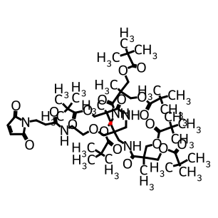 CC(C)(C)C(=O)OCC(C)(COC(=O)C(C)(C)C)C(=O)NCC(CNC(=O)C(C)(COC(=O)C(C)(C)C)COC(=O)C(C)(C)C)(CNC(=O)C(C)(COC(=O)C(C)(C)C)COC(=O)C(C)(C)C)COCCNC(=O)CCN1C(=O)C=CC1=O